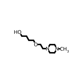 CN1CCN(CCOCCCCO)CC1